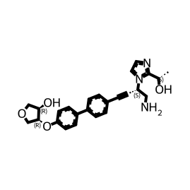 C[C@H](O)c1nccn1[C@@H](C#Cc1ccc(-c2ccc(O[C@@H]3COC[C@H]3O)cc2)cc1)CN